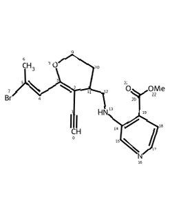 C#CC1=C(/C=C(\C)Br)OCCC1CNc1cnccc1C(=O)OC